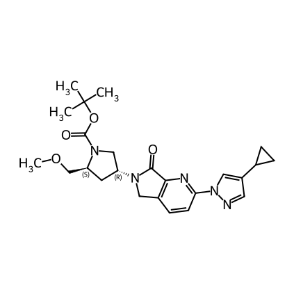 COC[C@@H]1C[C@@H](N2Cc3ccc(-n4cc(C5CC5)cn4)nc3C2=O)CN1C(=O)OC(C)(C)C